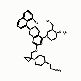 COCCN1CCN(C2(COc3nc4c(c(N5CCN(C(=O)O)C(CC#N)C5)n3)CCN(c3cccc5cccc(Cl)c35)C4)CC2)CC1